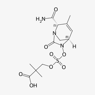 CC1=C[C@@H]2CN(C(=O)N2OS(=O)(=O)OCC(C)(C)C(=O)O)[C@@H]1C(N)=O